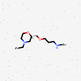 CCC(C)NCCCOC[C@@H]1CN(CC(C)C)CCO1